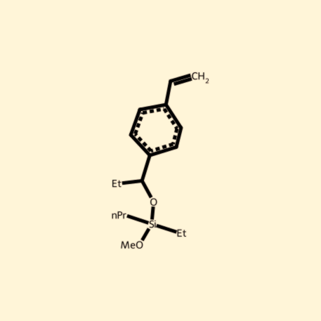 C=Cc1ccc(C(CC)O[Si](CC)(CCC)OC)cc1